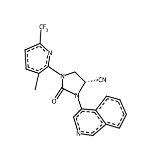 Cc1ccc(C(F)(F)F)nc1N1C[C@H](C#N)N(c2cncc3ccccc23)C1=O